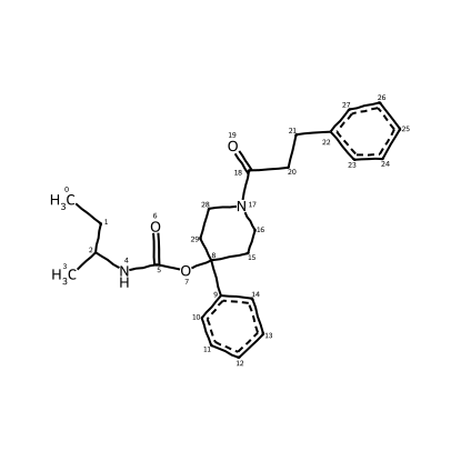 CCC(C)NC(=O)OC1(c2ccccc2)CCN(C(=O)CCc2ccccc2)CC1